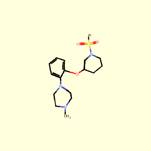 CC(C)S(=O)(=O)N1CCCC(Oc2ccccc2N2CCN(C)CC2)C1